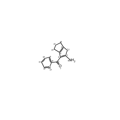 Nc1sc2c(c1C(=O)c1ccccn1)CCC2